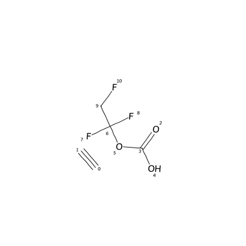 C#C.O=C(O)OC(F)(F)CF